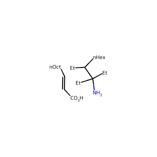 CCCCCCC(CC)C(N)(CC)CC.CCCCCCCCC=CC(=O)O